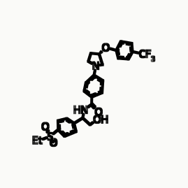 CCS(=O)(=O)c1ccc(C(CO)NC(=O)c2ccc(N3CC[C@@H](Oc4ccc(C(F)(F)F)cc4)C3)cc2)cc1